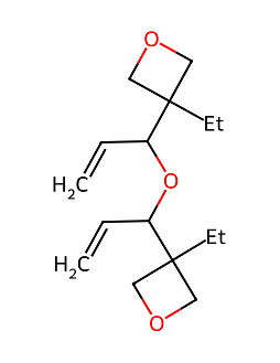 C=CC(OC(C=C)C1(CC)COC1)C1(CC)COC1